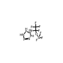 FC(F)(F)C(F)(F)O[Si](F)(F)F.n1p[nH][pH][nH][pH]1